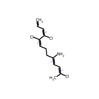 C=C/C=C(Cl)\C(Cl)=C/CC/C(N)=C/C=C(\C)Cl